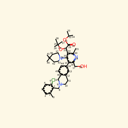 Cc1cccc(Cl)c1CN1CCc2cc(-c3c(CO)nc(C)c(C(OC(C)(C)C)C(=O)OC(C)C)c3N3CCC(C)(C)CC3)ccc2C1